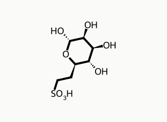 O=S(=O)(O)CC[C@H]1O[C@H](O)[C@@H](O)[C@@H](O)[C@@H]1O